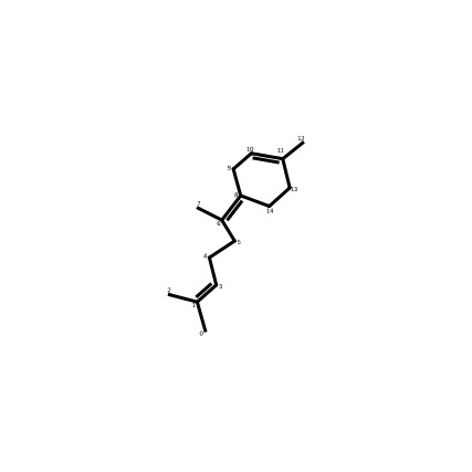 CC(C)=CCC/C(C)=C1/CC=C(C)CC1